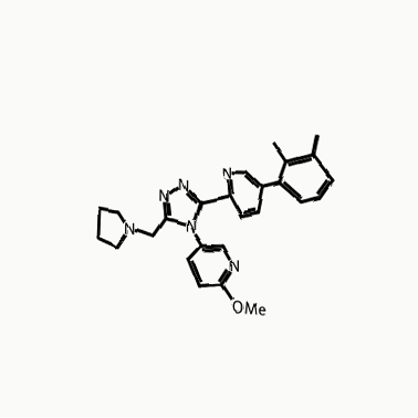 COc1ccc(-n2c(CN3CCCC3)nnc2-c2ccc(-c3cccc(C)c3C)cn2)cn1